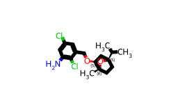 CC(C)[C@@]12CC[C@@](C)(O1)[C@@H](OCc1cc(Cl)cc(N)c1Cl)C2